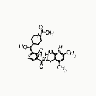 Cc1cc(C)c(CNC(=O)c2csc(C(O)C3CCN(C(=O)O)CC3)c2C)c(=O)[nH]1